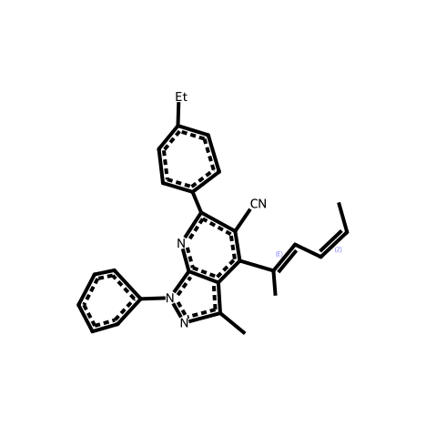 C/C=C\C=C(/C)c1c(C#N)c(-c2ccc(CC)cc2)nc2c1c(C)nn2-c1ccccc1